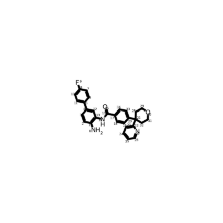 Nc1ccc(-c2ccc(F)cc2)cc1NC(=O)c1ccc(C2(c3ccccn3)CCOCC2)cc1